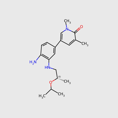 Cc1cc(-c2ccc(N)c(NC[C@H](C)OC(C)C)c2)cn(C)c1=O